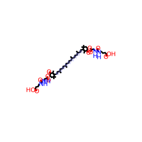 CC1=C(/C=C/C(C)=C/C=C/C(C)=C/C=C/C=C(C)/C=C/C=C(C)/C=C/C2=C(C)C(=O)C(OC(=O)CNC(=O)NCCCC(=O)O)CC2(C)C)C(C)(C)CC(OC(=O)CNC(=O)NCCCC(=O)O)C1=O